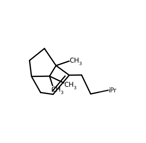 CC(C)CCC1=CCC2CCC1(C)C2(C)C